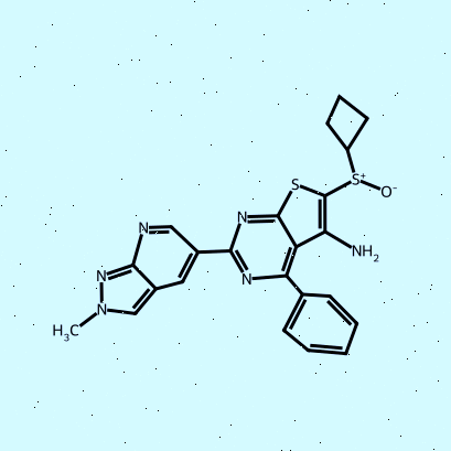 Cn1cc2cc(-c3nc(-c4ccccc4)c4c(N)c([S+]([O-])C5CCC5)sc4n3)cnc2n1